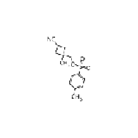 Cc1ccc(S(=O)(=O)OCC2(C)CC(C#N)C2)cc1